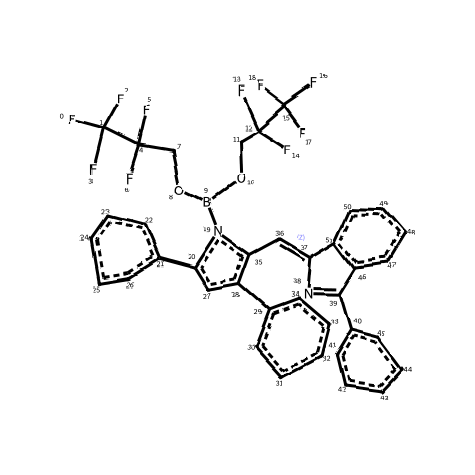 FC(F)(F)C(F)(F)COB(OCC(F)(F)C(F)(F)F)n1c(-c2ccccc2)cc(-c2ccccc2)c1/C=C1\N=C(c2ccccc2)c2ccccc21